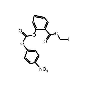 O=C(Oc1ccc([N+](=O)[O-])cc1)Oc1ccccc1C(=O)OCI